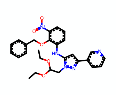 CCOC(Cn1nc(-c2cccnc2)cc1Nc1cccc([N+](=O)[O-])c1OCc1ccccc1)OCC